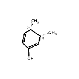 C[C@@H]1C=C(O)C=C[C@@H]1C